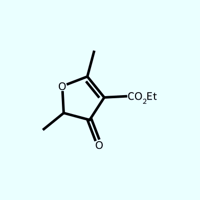 CCOC(=O)C1=C(C)OC(C)C1=O